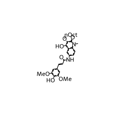 CCCCCCCCOc1c(O)c2cc(NC(=O)/C=C/c3cc(OC)c(O)c(OC)c3)ccc2n(C)c1=O